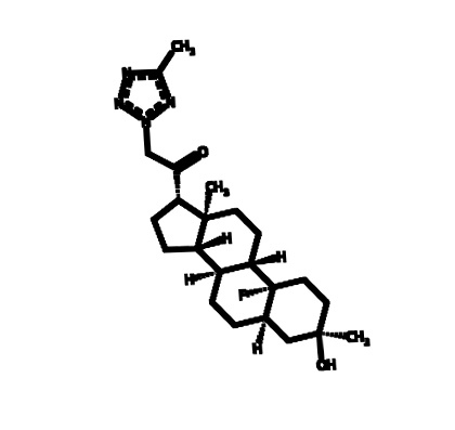 Cc1nnn(CC(=O)[C@H]2CC[C@H]3[C@@H]4CC[C@@H]5C[C@](C)(O)CC[C@]5(F)[C@H]4CC[C@]23C)n1